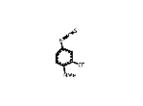 CNc1ccc(N=C=S)cc1C(F)(F)F